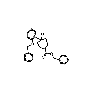 O=C(OCc1ccccc1)N1CCC(O)(c2ccccc2OCc2ccccc2)CC1